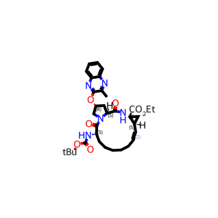 CCOC(=O)[C@@]12C[C@H]1/C=C\CCCCC[C@H](NC(=O)OC(C)(C)C)C(=O)N1C[C@H](Oc3nc4ccccc4nc3C)C[C@H]1C(=O)N2